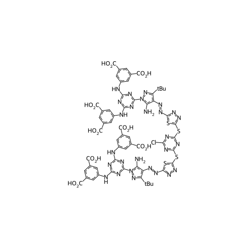 CC(C)(C)c1nn(-c2nc(Nc3cc(C(=O)O)cc(C(=O)O)c3)nc(Nc3cc(C(=O)O)cc(C(=O)O)c3)n2)c(N)c1N=Nc1nnc(Sc2nc(Cl)nc(Sc3nnc(N=Nc4c(C(C)(C)C)nn(-c5nc(Nc6cc(C(=O)O)cc(C(=O)O)c6)nc(Nc6cc(C(=O)O)cc(C(=O)O)c6)n5)c4N)s3)n2)s1